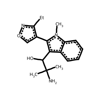 CCc1nocc1-c1c(C(O)C(C)(C)N)c2ccccc2n1C